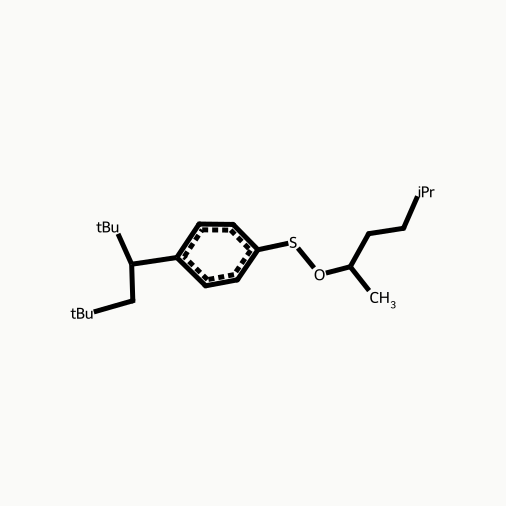 CC(C)CCC(C)OSc1ccc(C(CC(C)(C)C)C(C)(C)C)cc1